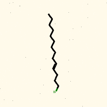 CCCCCCCCCC=CCCCBr